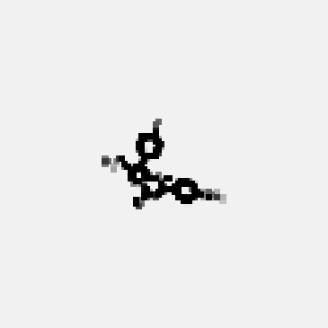 Cc1nn2c(=O)cc(-c3ccc([N+](=O)[O-])cc3)[nH]c2c1-c1ccc(Cl)cc1